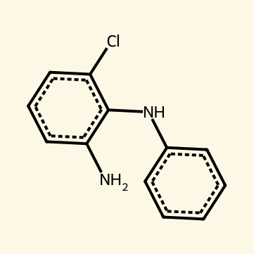 Nc1cccc(Cl)c1Nc1ccccc1